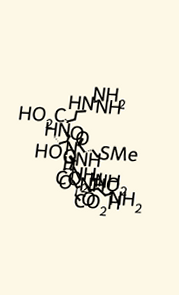 CSCC[C@H](NC(=O)[C@H](CC(=O)O)NC(=O)[C@H](CC(=O)O)NC(=O)[C@@H](N)CC(N)=O)C(=O)N[C@H](C(=O)N[C@@H](CCCNC(=N)N)C(=O)O)[C@@H](C)O